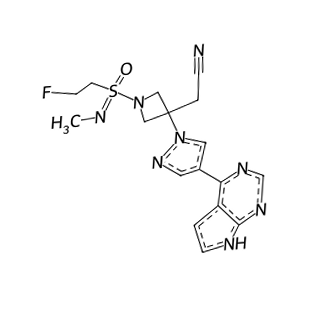 CN=S(=O)(CCF)N1CC(CC#N)(n2cc(-c3ncnc4[nH]ccc34)cn2)C1